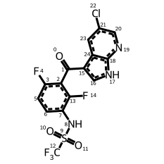 O=C(c1c(F)ccc(NS(=O)(=O)C(F)(F)F)c1F)c1c[nH]c2ncc(Cl)cc12